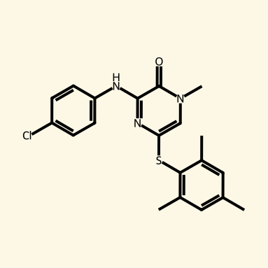 Cc1cc(C)c(Sc2cn(C)c(=O)c(Nc3ccc(Cl)cc3)n2)c(C)c1